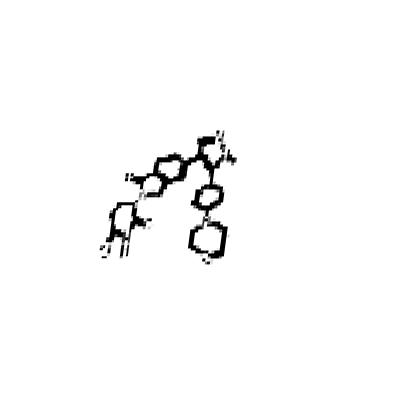 Cn1ncc(-c2ccc3c(c2)CN([C@H]2CCC(=O)NC2=O)C3=O)c1-c1ccc(N2CCOCC2)cc1